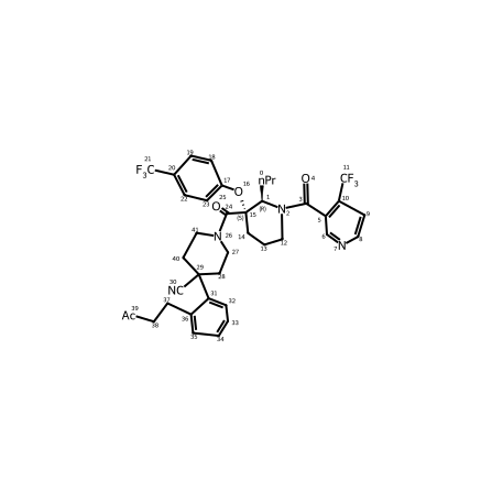 CCC[C@H]1N(C(=O)c2cnccc2C(F)(F)F)CCC[C@@]1(Oc1ccc(C(F)(F)F)cc1)C(=O)N1CCC(C#N)(c2ccccc2CCC(C)=O)CC1